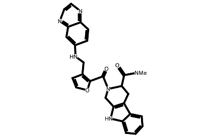 CNC(=O)C1Cc2c([nH]c3ccccc23)CN1C(=O)c1occc1CNc1ccc2nccnc2c1